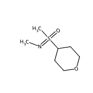 CN=S(C)(=O)C1CCOCC1